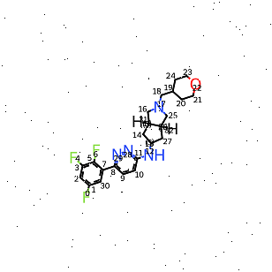 Fc1cc(F)c(F)c(-c2ccc(N[C@H]3C[C@@H]4CN(CC5CCOCC5)C[C@@H]4C3)nn2)c1